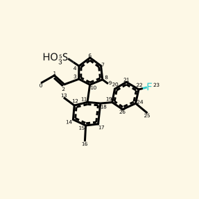 CC=Cc1c(S(=O)(=O)O)ccc(C)c1-c1c(C)cc(C)cc1-c1ccc(F)c(C)c1